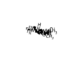 Cc1nn(C)cc1C(=O)Nc1cc2[nH]c(-c3ccnc(NC(F)C(F)F)n3)cc2cn1